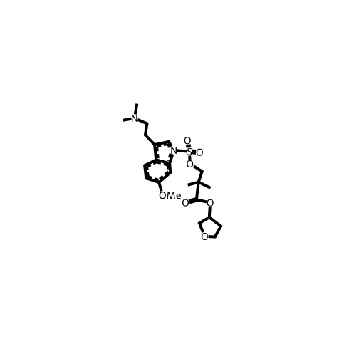 COc1ccc2c(CCN(C)C)cn(S(=O)(=O)OCC(C)(C)C(=O)OC3CCOC3)c2c1